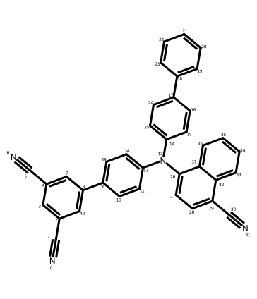 N#Cc1cc(C#N)cc(-c2ccc(N(c3ccc(-c4ccccc4)cc3)c3ccc(C#N)c4ccccc34)cc2)c1